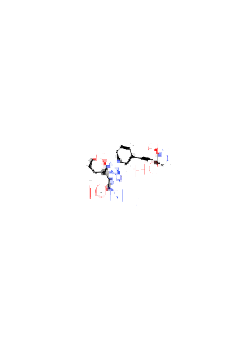 CN1CC[C@@](O)(C#Cc2cccc(-n3nc(C(N)O)c4c3OCCC4)c2)C1=O